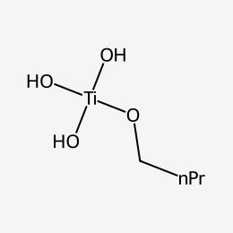 CCCC[O][Ti]([OH])([OH])[OH]